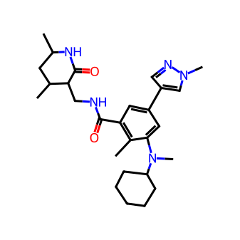 Cc1c(C(=O)NCC2C(=O)NC(C)CC2C)cc(-c2cnn(C)c2)cc1N(C)C1CCCCC1